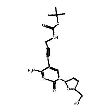 CC(C)(C)OC(=O)NCC#Cc1cn(C2CCC(CO)O2)c(=O)nc1N